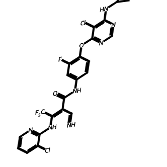 N=C/C(C(=O)Nc1ccc(Oc2ncnc(NC3CC3)c2Cl)c(F)c1)=C(\Nc1ncccc1Cl)C(F)(F)F